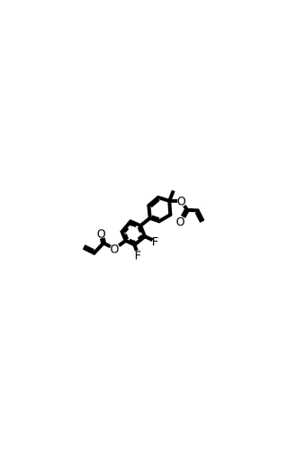 C=CC(=O)Oc1ccc(C2=CCC(C)(OC(=O)C=C)C=C2)c(F)c1F